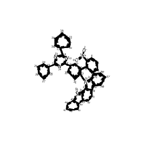 O=[N+]([O-])c1ccccc1-c1cc(-c2nc(-c3ccccc3)nc(-c3ccccc3)n2)ccc1-n1c2ccccc2c2ccc3c4ccccc4sc3c21